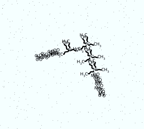 CCCC[N+](CCCC)(CCCC)CCCC.CCCC[N+](CCCC)(CCCC)CCCC.CCCC[N+](CCCC)(CCCC)CCCC.CCCC[N+](CCCC)(CCCC)CCCC.[O]=[Mo](=[O])([O-])[O-].[O]=[Mo](=[O])([O-])[O-].[O]=[Mo](=[O])([O-])[O-].[O]=[Mo](=[O])([O-])[O-].[O]=[Mo](=[O])([O-])[O-].[O]=[Mo](=[O])([O-])[O-].[O]=[Mo](=[O])([O-])[O-].[O]=[Mo](=[O])([O-])[O-]